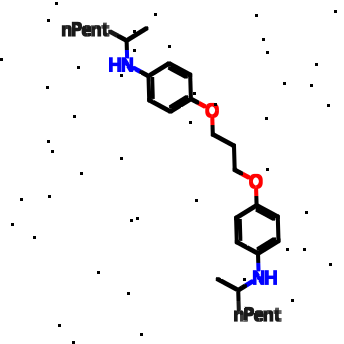 CCCCCC(C)Nc1ccc(OCCCOc2ccc(NC(C)CCCCC)cc2)cc1